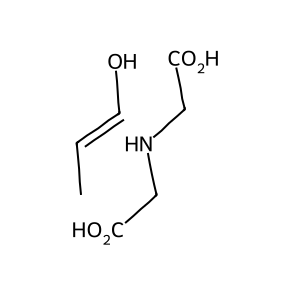 CC=CO.O=C(O)CNCC(=O)O